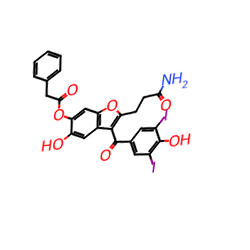 NC(=O)CCc1oc2cc(OC(=O)Cc3ccccc3)c(O)cc2c1C(=O)c1cc(I)c(O)c(I)c1